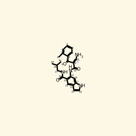 Cc1ccccc1C(=O)/C(=C\N)C(=O)Nc1cc2[nH]ccc2cc1C(=O)NCC(C)C